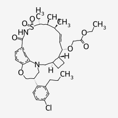 CCCc1cc(Cl)ccc1[C@@H]1COc2ccc3cc2N(C1)C[C@@H]1CC[C@H]1[C@@H](OCC(=O)OCC)/C=C/[C@H](C)[C@H](C)[C@@H](C)S(=O)(=O)NC3=O